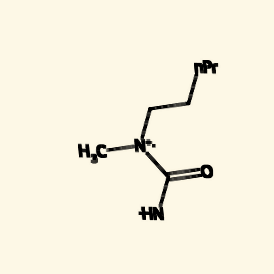 CCCCC[N+](C)C([NH])=O